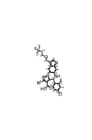 Cn1nc(Br)c(C(=O)O)c1C(Nc1ccc2c(c1)ncn2COCC[Si](C)(C)C)c1ccc(Cl)cc1F